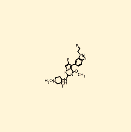 COc1nc(N[C@@H]2CCN(C)C[C@@H]2F)nn2cc(F)c(-c3ccc4nnn(CCF)c4c3)c12